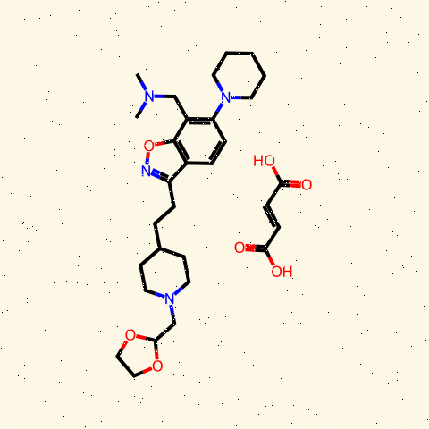 CN(C)Cc1c(N2CCCCC2)ccc2c(CCC3CCN(CC4OCCO4)CC3)noc12.O=C(O)C=CC(=O)O